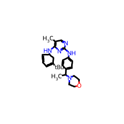 Cc1cnc(Nc2ccc(C(C)N3CCOCC3)cc2)nc1NC1C=CC=C(C(C)(C)C)C1